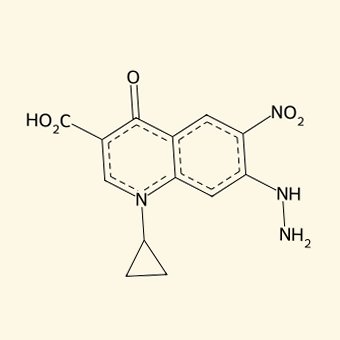 NNc1cc2c(cc1[N+](=O)[O-])c(=O)c(C(=O)O)cn2C1CC1